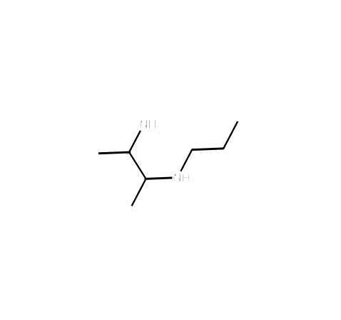 CCCNC(C)C(C)N